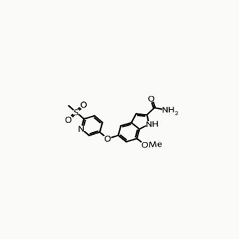 COc1cc(Oc2ccc(S(C)(=O)=O)nc2)cc2cc(C(N)=O)[nH]c12